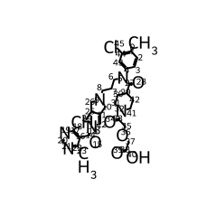 Cc1ccc(N(CCCN2CC3=CN(C(=O)c4c(C)ncnc4C)CC3C2)C(=O)C2CCN(C(=O)COCC(=O)O)CC2)cc1Cl